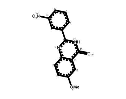 COc1ccc2nc(-c3cccc([N+](=O)[O-])c3)[nH]c(=O)c2c1